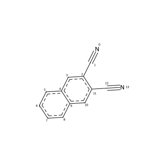 N#Cc1cc2c[c]ccc2cc1C#N